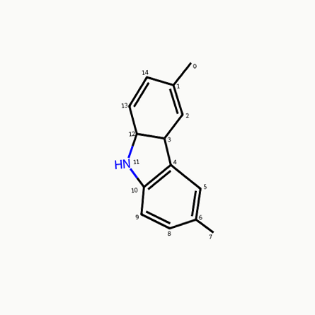 CC1=CC2c3cc(C)ccc3NC2C=C1